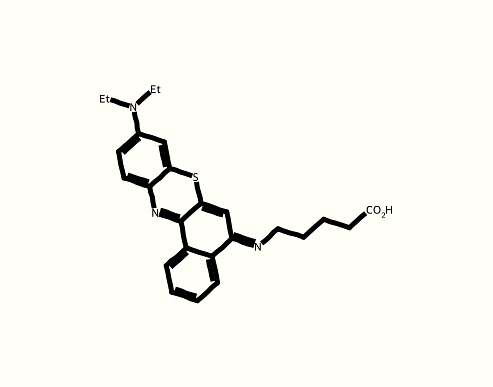 CCN(CC)c1ccc2nc3c4ccccc4c(=NCCCCC(=O)O)cc-3sc2c1